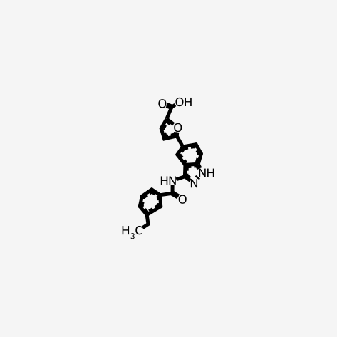 CCc1cccc(C(=O)Nc2n[nH]c3ccc(-c4ccc(C(=O)O)o4)cc23)c1